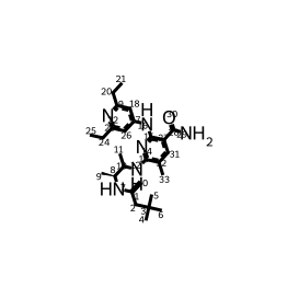 C=C(CC(C)(C)C)N[C@@H](C)C(C)Nc1nc(Nc2cc(CC)nc(CC)c2)c(C(N)=O)cc1C